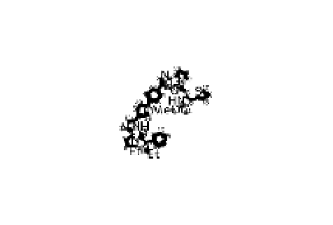 CCN(CC)[C@@H](C(=O)N1CCC[C@H]1c1ncc(-c2ccc(-c3ccc(-c4cnc([C@@H]5CCCN5C(=O)C[C@H](Cc5cccs5)NC(=O)OC)[nH]4)cc3)cc2)[nH]1)c1ccccc1